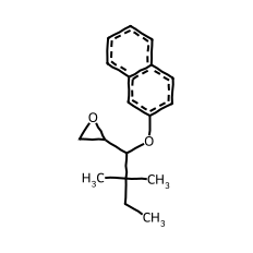 CCC(C)(C)C(Oc1ccc2ccccc2c1)C1CO1